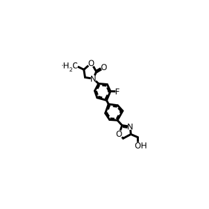 [CH2]C1CN(c2ccc(-c3ccc(C4=NC(CO)CO4)cc3)c(F)c2)C(=O)O1